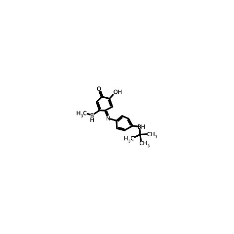 CBC1=CC(=O)C(O)=C/C1=N\c1ccc(BC(C)(C)C)cc1